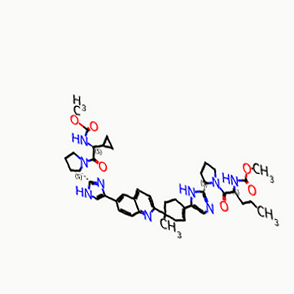 CCC[C@H](NC(=O)OC)C(=O)N1CCC[C@H]1c1ncc(C2=CCC(C)(c3ccc4cc(-c5c[nH]c([C@@H]6CCCN6C(=O)[C@@H](NC(=O)OC)C6CC6)n5)ccc4n3)CC2)[nH]1